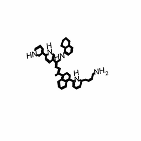 C/C(=C\C=C(/CNC1=CC=CC2CCCCC12)C1=CNC(C2=CC=CNC2)C=C1)C1=c2ccccc2=C(C2=CC=CC(C/C=C\CN)N2)CC1